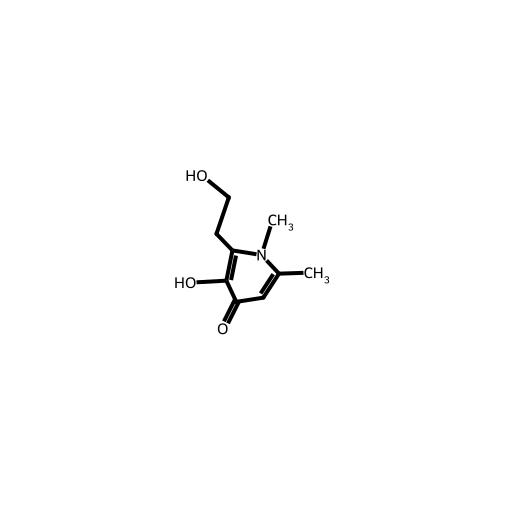 Cc1cc(=O)c(O)c(CCO)n1C